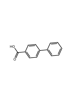 O=C(O)c1[c]cc(-c2ccccc2)cc1